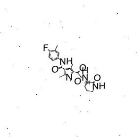 Cc1cc(NC(=O)c2c(C)c(C(=O)C(=O)N[C@@H]3CCCNC3=O)n(C)c2C)ccc1F